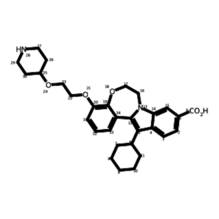 O=C(O)c1ccc2c(C3CCCCC3)c3n(c2c1)CCOc1c(OCCOC2CCNCC2)cccc1-3